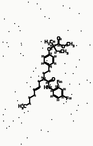 CCCCC=CCN(CCc1ccc(OC(C)(CC)C(=O)OC)cc1)C(=O)Nc1ccc(F)cc1F